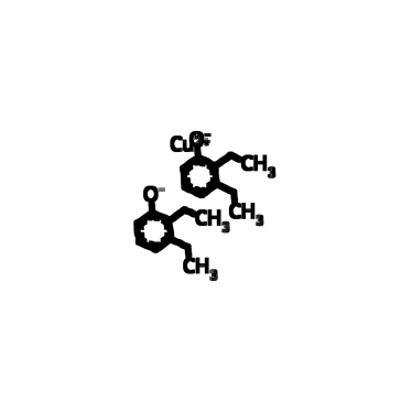 CCc1cccc([O-])c1CC.CCc1cccc([O-])c1CC.[Cu+2]